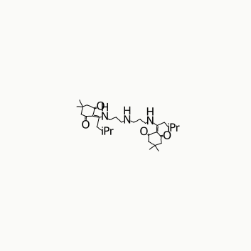 CC(C)CC(NCCCNCCCNC(CC(C)C)=C1C(=O)CC(C)(C)CC1=O)=C1C(=O)CC(C)(C)CC1=O